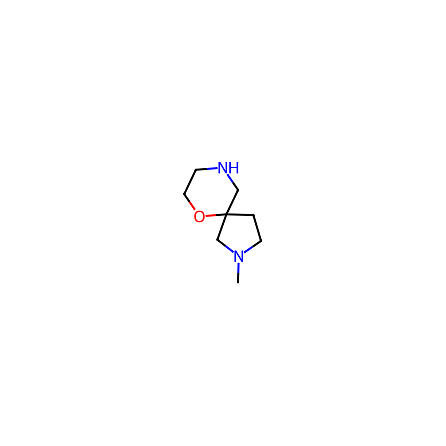 CN1CCC2(CNCCO2)C1